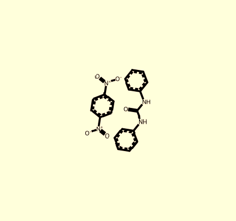 O=C(Nc1ccccc1)Nc1ccccc1.O=[N+]([O-])c1ccc([N+](=O)[O-])cc1